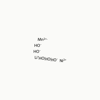 [Li+].[Mn+2].[Ni+2].[OH-].[OH-].[OH-].[OH-].[OH-]